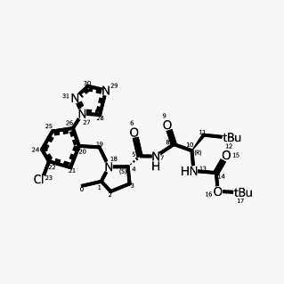 CC1CC[C@@H](C(=O)NC(=O)[C@@H](CC(C)(C)C)NC(=O)OC(C)(C)C)N1Cc1cc(Cl)ccc1-n1cncn1